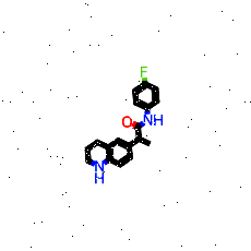 CC(C(=O)Nc1ccc(F)cc1)c1ccc2c(c1)CCCN2